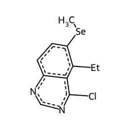 CCc1c([Se]C)ccc2ncnc(Cl)c12